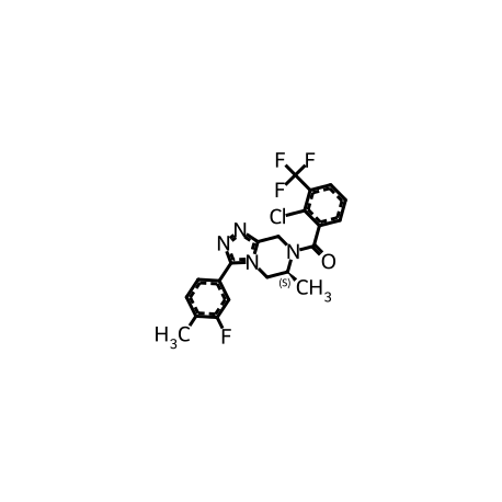 Cc1ccc(-c2nnc3n2C[C@H](C)N(C(=O)c2cccc(C(F)(F)F)c2Cl)C3)cc1F